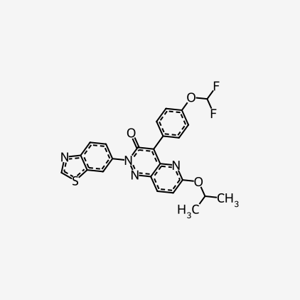 CC(C)Oc1ccc2nn(-c3ccc4ncsc4c3)c(=O)c(-c3ccc(OC(F)F)cc3)c2n1